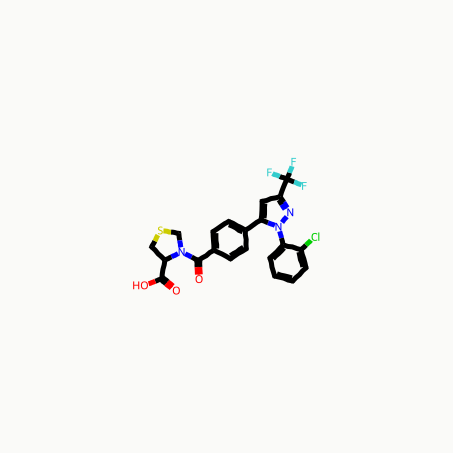 O=C(O)C1CSCN1C(=O)c1ccc(-c2cc(C(F)(F)F)nn2-c2ccccc2Cl)cc1